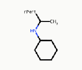 CCCCCC(C)NC1CCCCC1